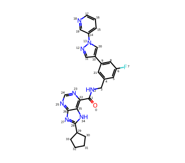 O=C(NCc1cc(F)cc(-c2cnn(-c3cccnc3)c2)c1)c1ncnc2nc(C3CCCC3)[nH]c12